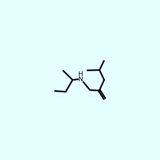 C=C(CNC(C)CC)CC(C)C